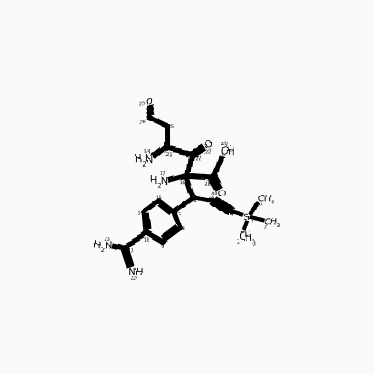 C[Si](C)(C)C#CC(c1ccc(C(=N)N)cc1)C(N)(C(=O)O)C(=O)C(N)CC=O